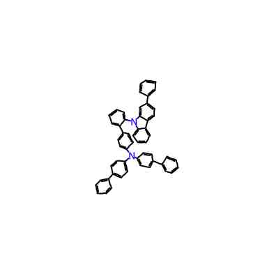 c1ccc(-c2ccc(N(c3ccc(-c4ccccc4)cc3)c3ccc(-c4ccccc4-n4c5ccccc5c5ccc(-c6ccccc6)cc54)cc3)cc2)cc1